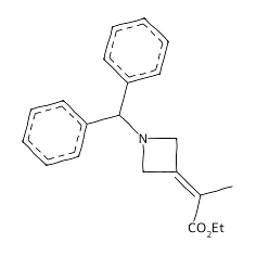 CCOC(=O)C(C)=C1CN(C(c2ccccc2)c2ccccc2)C1